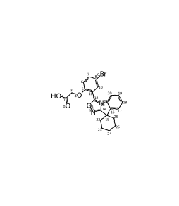 O=C(O)COc1ccc(Br)cc1-c1nc(C2(c3ccccc3)CCCCC2)no1